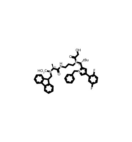 C[C@@H](C(=O)NCCCN(C(=O)CO)[C@@H](c1cc(-c2cc(F)ccc2F)cn1Cc1ccccc1)C(C)(C)C)N(CC1c2ccccc2-c2ccccc21)C(=O)O